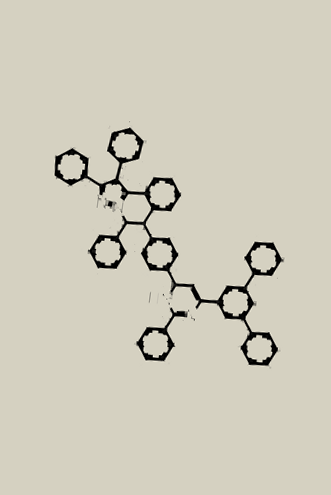 C1=C(c2cc(-c3ccccc3)cc(-c3ccccc3)c2)N=C(c2ccccc2)NC1c1ccc(C2c3ccccc3-c3c(-c4ccccc4)c(-c4ccccc4)nn3C2c2ccccc2)cc1